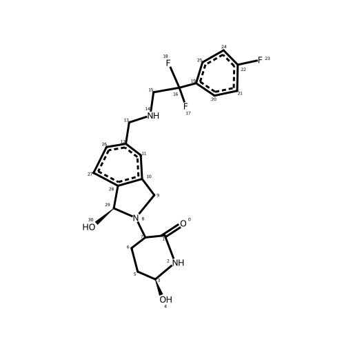 O=C1N[C@@H](O)CCC1N1Cc2cc(CNCC(F)(F)c3ccc(F)cc3)ccc2[C@@H]1O